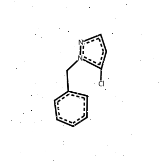 Clc1ccnn1Cc1ccccc1